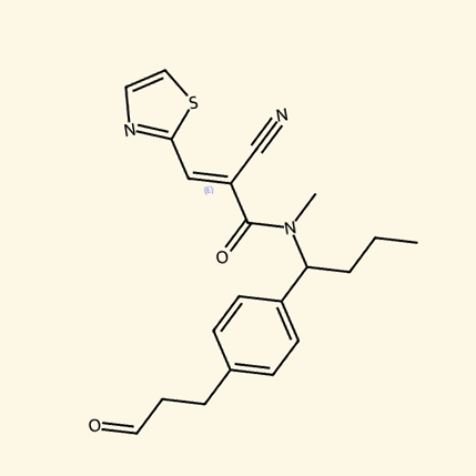 CCCC(c1ccc(CCC=O)cc1)N(C)C(=O)/C(C#N)=C/c1nccs1